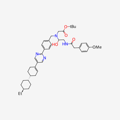 CC[C@H]1CC[C@H](C2CC=C(c3cnc(-c4ccc(CN(CC(=O)OC(C)(C)C)C(O)CNC(=O)Cc5ccc(OC)cc5)cc4)nc3)CC2)CC1